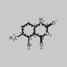 Cc1ccc2[nH]c(=O)oc(=O)c2c1Br